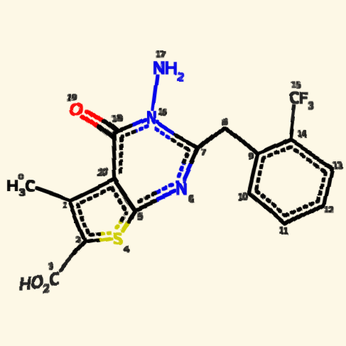 Cc1c(C(=O)O)sc2nc(Cc3ccccc3C(F)(F)F)n(N)c(=O)c12